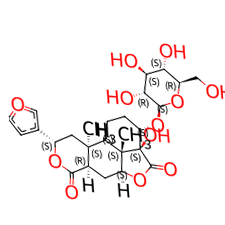 C[C@@]12C[C@@H](c3ccoc3)OC(=O)[C@@H]1C[C@@H]1OC(=O)[C@@]3(O)[C@@H](O[C@@H]4O[C@H](CO)[C@@H](O)[C@H](O)[C@H]4O)CC[C@@H]2[C@@]13C